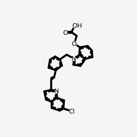 O=C(O)COc1cccc2ccn(Cc3cccc(C=Cc4ccc5ccc(Cl)cc5n4)c3)c12